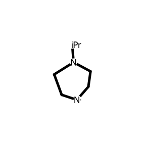 CC(C)N1CC[N]CC1